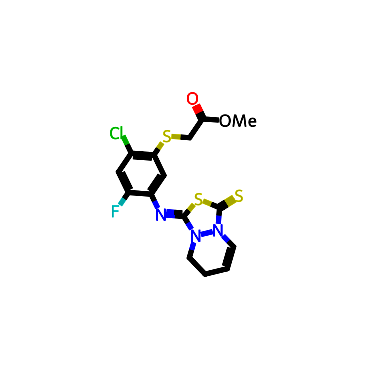 COC(=O)CSc1cc(N=c2sc(=S)n3n2CCC=C3)c(F)cc1Cl